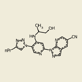 CCCc1cn(-c2cnc(-n3ncc4cc(C#N)cnc43)cc2NC(C)CO)nn1